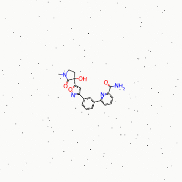 CN1CCC(O)(c2cc(-c3cccc(-c4cccc(C(N)=O)n4)c3)no2)C1=O